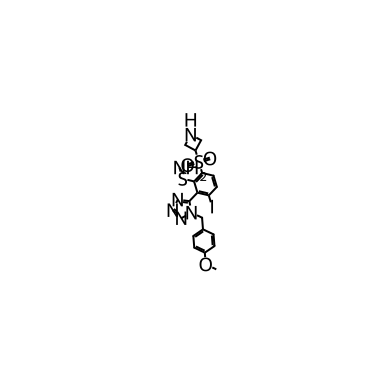 COc1ccc(Cn2nnnc2-c2c(I)ccc(S(=O)(=O)C3CNC3)c2SN)cc1